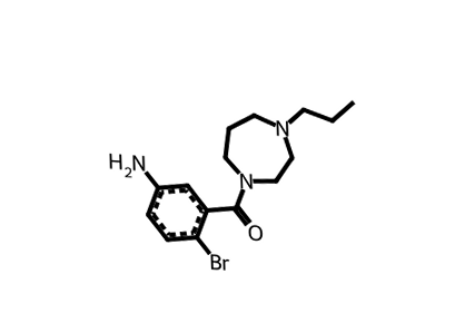 CCCN1CCCN(C(=O)c2cc(N)ccc2Br)CC1